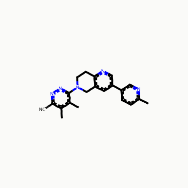 Cc1ccc(-c2cnc3c(c2)CN(c2nnc(C#N)c(C)c2C)CC3)cn1